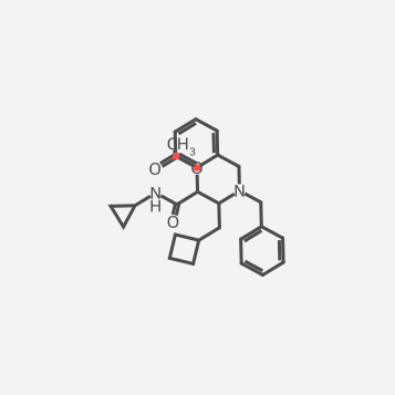 CC(=O)OC(C(=O)NC1CC1)C(CC1CCC1)N(Cc1ccccc1)Cc1ccccc1